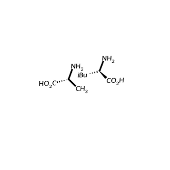 CC[C@@H](C)[C@@H](N)C(=O)O.C[C@@H](N)C(=O)O